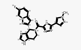 Cn1cc(-c2nnc(C(=O)N3CCc4[nH]cnc4[C@@H]3c3cc4ccc(F)cn4n3)o2)cn1